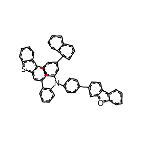 c1cc(-c2cccc3ccccc23)cc(N(c2ccc(-c3ccc4c(c3)oc3ccccc34)cc2)c2ccccc2-c2ccc3c(c2)sc2ccccc23)c1